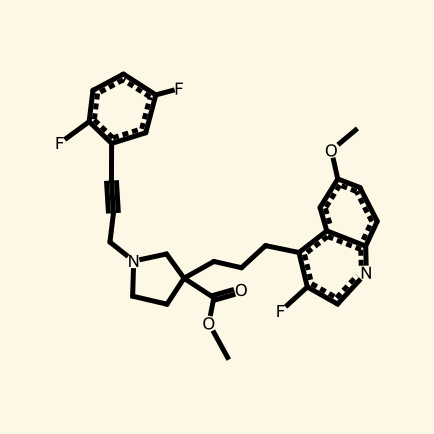 COC(=O)C1(CCCc2c(F)cnc3ccc(OC)cc23)CCN(CC#Cc2cc(F)ccc2F)C1